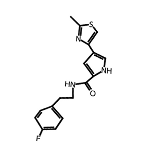 Cc1nc(-c2c[nH]c(C(=O)NCCc3ccc(F)cc3)c2)cs1